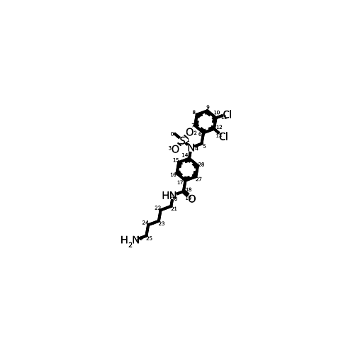 CS(=O)(=O)N(Cc1cccc(Cl)c1Cl)c1ccc(C(=O)NCCCCCN)cc1